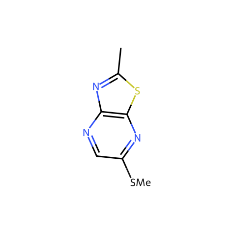 CSc1cnc2nc(C)sc2n1